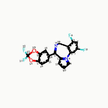 Fc1cc(F)c2c(c1)-n1cccc1C(c1ccc3c(c1)OC(F)(F)O3)=NC2